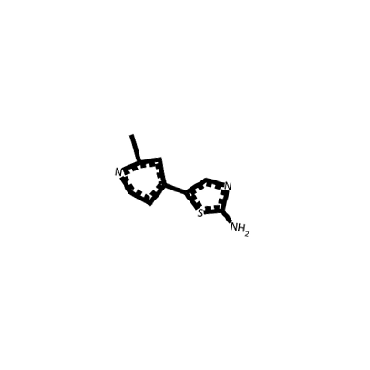 Cc1cc(-c2cnc(N)s2)ccn1